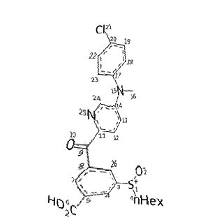 CCCCCC[S+]([O-])c1cc(C(=O)O)cc(C(=O)c2ccc(N(C)c3ccc(Cl)cc3)cn2)c1